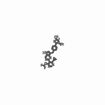 CC(C)n1cc(C(F)(F)F)nc1-c1ccc(Cc2c[nH]c3cnc(-c4c(OC(F)F)ncnc4C4CC4)nc23)cc1